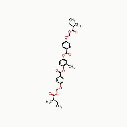 CCC(C)C(=O)OCOc1ccc(C(=O)Oc2ccc(OC(=O)c3ccc(OCOC(=O)C(C)CC)cc3)c(C)c2)cc1